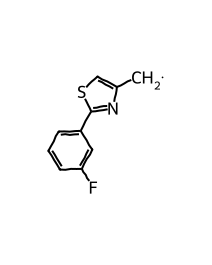 [CH2]c1csc(-c2cccc(F)c2)n1